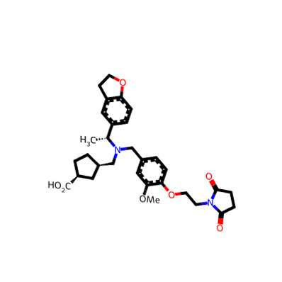 COc1cc(CN(C[C@@H]2CC[C@H](C(=O)O)C2)[C@H](C)c2ccc3c(c2)CCO3)ccc1OCCN1C(=O)CCC1=O